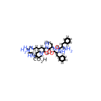 CC(C)CC(NC(=O)C(Cc1ccccc1)NC(=O)C(N)Cc1ccccc1)C(=O)NC(CCCCN)C(=O)N1CCC(NCCN)(C(=O)O)CC1